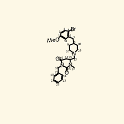 COc1ccc(Br)c(CC2CCN(CC3CC(=O)N(Cc4ccccc4)C(=O)N3C)CC2)c1